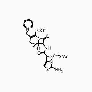 CSON1C(C(=O)NC2C(=O)N3C(C(=O)[O-])=C(C[n+]4ccccc4)CS[C@@H]23)C2=CSC(N)N21